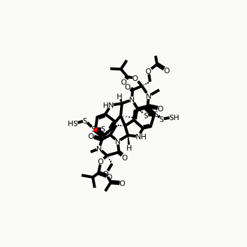 CC(=O)OC[C@@]1(OC(=O)C(C)C)C(=O)N2[C@H]3Nc4cc#ccc4[C@@]3([C@]34C[C@]5(SSSS)C(=O)N(C)[C@](COC(C)=O)(OC(=O)C(C)C)C(=O)N5[C@H]3Nc3cc#ccc34)C[C@]2(SSSS)C(=O)N1C